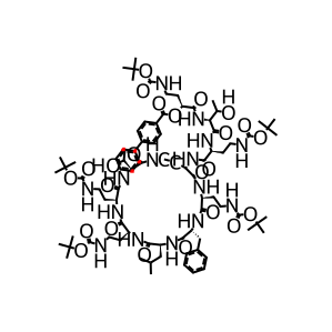 CC(C)C[C@@H]1NC(=O)[C@@H](Cc2ccccc2)NC(=O)[C@H](CCNC(=O)OC(C)(C)C)NC(=O)[C@@H](NC(=O)[C@H](CCNC(=O)OC(C)(C)C)NC(=O)[C@@H](NC(=O)[C@H](CCNC(=O)OC(C)(C)C)OC(=O)c2ccc(-c3ccccc3)cc2)C(C)O)CCNC(=O)[C@H](C(C)O)NC(=O)[C@H](CCNC(=O)OC(C)(C)C)NC(=O)[C@H](CCNC(=O)OC(C)(C)C)NC1=O